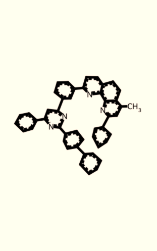 Cc1cc(-c2ccccc2)nc2c1ccc1ccc(-c3cccc(-c4cc(-c5ccccc5)nc(-c5ccc(-c6ccccc6)cc5)n4)c3)nc12